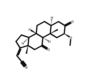 CO[C@H]1C[C@@]2(C)[C@@H](CC[C@@H]3[C@@H]2C(=O)C[C@]2(C)/C(=C\C#N)CC[C@@H]32)CC1=O